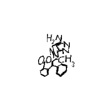 CC(c1oc(=O)c2ccccc2c1-c1ccccc1)n1ncc2c(N)ncnc21